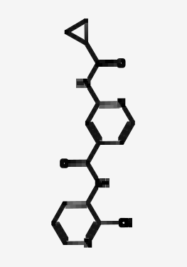 N#Cc1ncccc1NC(=O)c1ccnc(NC(=O)C2CC2)c1